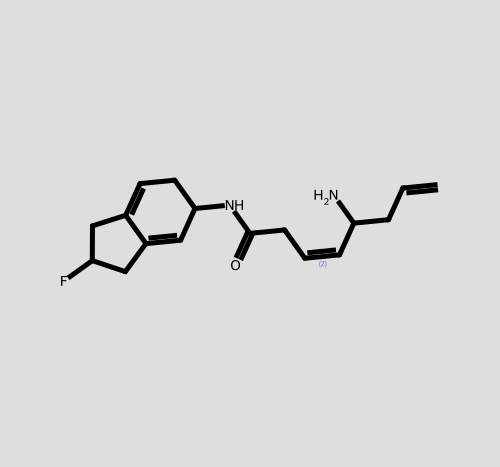 C=CCC(N)/C=C\CC(=O)NC1C=C2CC(F)CC2=CC1